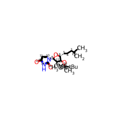 C=C(C)CCC[C@H]1O[C@@H](n2ccc(=O)[nH]c2=O)C(OC)C1O[Si](C)(C)C(C)(C)C